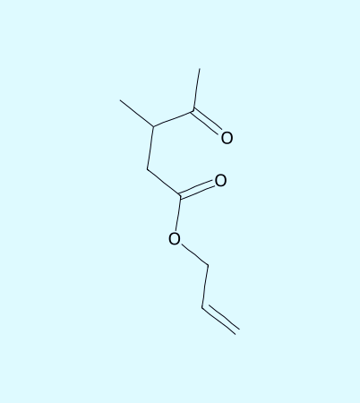 C=CCOC(=O)CC(C)C(C)=O